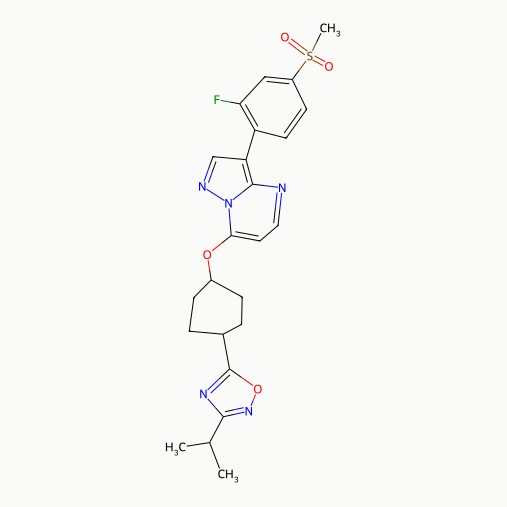 CC(C)c1noc(C2CCC(Oc3ccnc4c(-c5ccc(S(C)(=O)=O)cc5F)cnn34)CC2)n1